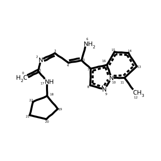 C=C(/N=C\C=C(/N)c1cnn2c(C)cccc12)NC1CCCC1